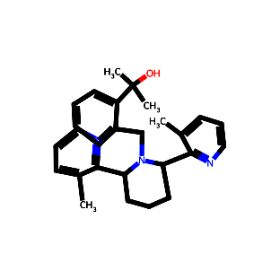 Cc1cccnc1C1CCCC(c2ncccc2C)N1Cc1ccccc1C(C)(C)O